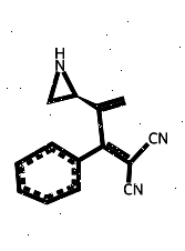 C=C(C(=C(C#N)C#N)c1ccccc1)[C@H]1CN1